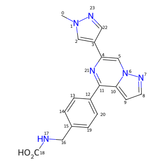 Cn1cc(-c2cn3nccc3c(-c3ccc(CNC(=O)O)cc3)n2)cn1